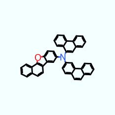 c1ccc2c(c1)ccc1ccc(N(c3ccc4oc5c6ccccc6ccc5c4c3)c3cc4ccccc4c4ccccc34)cc12